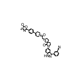 Cn1nc(-c2ccc(C3=CCN(C(=O)CN4CCC5(CCN(c6ccc7[nH]nc(-c8cccc(C#N)c8)c7c6)C5=O)C4)CC3)cc2)oc1=O